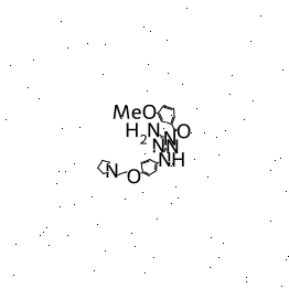 COc1cccc(C(=O)n2nc(Nc3ccc(OCCN4CCCC4)cc3)nc2N)c1